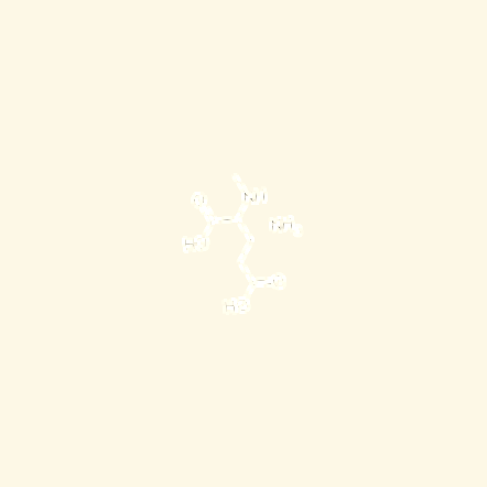 CNC(CCC(=O)O)C(=O)O.N